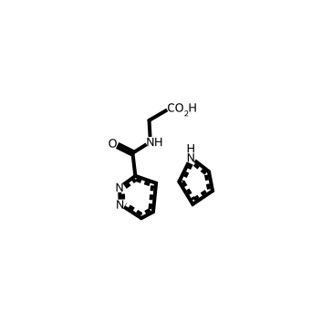 O=C(O)CNC(=O)c1cccnn1.c1cc[nH]c1